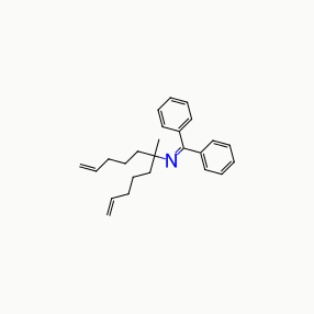 C=CCCCC(C)(CCCC=C)N=C(c1ccccc1)c1ccccc1